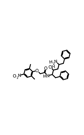 Cc1cc([N+](=O)[O-])cc(C)c1OCC(=O)NC(Cc1ccccc1)C(O)CC(N)Cc1ccccc1